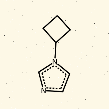 c1cn([C]2CCC2)cn1